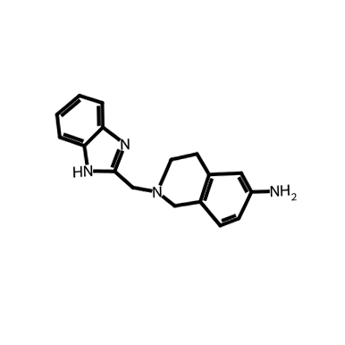 Nc1ccc2c(c1)CCN(Cc1nc3ccccc3[nH]1)C2